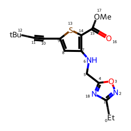 CCc1noc(CNc2cc(C#CC(C)(C)C)sc2C(=O)OC)n1